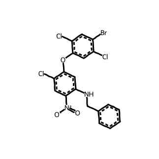 O=[N+]([O-])c1cc(Cl)c(Oc2cc(Cl)c(Br)cc2Cl)cc1NCc1ccccc1